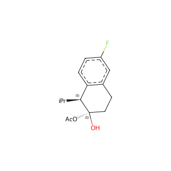 CC(=O)O[C@@]1(O)CCc2cc(F)ccc2[C@@H]1C(C)C